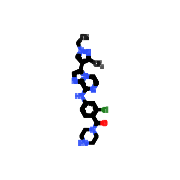 N#CCn1cc(-c2cnc3c(Nc4ccc(C(=O)N5CCNCC5)c(Cl)c4)nccn23)c(C(F)(F)F)n1